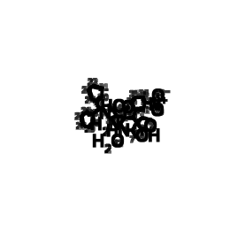 CCC1(C(=O)O)C(C)NC(N)C(C(=O)O)(C2CN(C(c3ccccc3)c3ccccc3)C2)C1c1cccc([N+](=O)[O-])c1.O